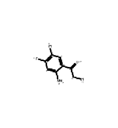 Nc1cc(F)c(Cl)cc1C(=O)CCl